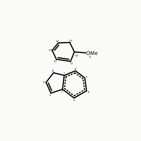 C1=Cc2ccccc2C1.COC1C=CC=CC1